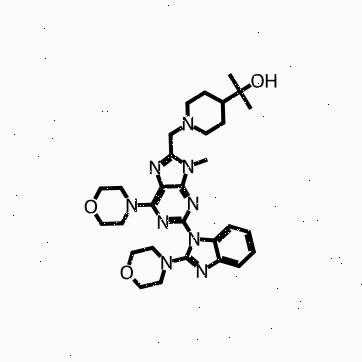 Cn1c(CN2CCC(C(C)(C)O)CC2)nc2c(N3CCOCC3)nc(-n3c(N4CCOCC4)nc4ccccc43)nc21